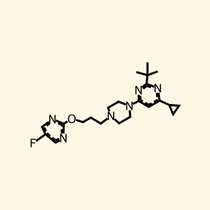 CC(C)(C)c1nc(C2CC2)cc(N2CCN(CCCOc3ncc(F)cn3)CC2)n1